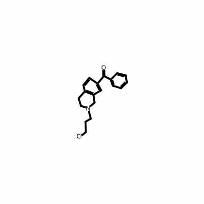 O=C(c1ccccc1)c1ccc2c(c1)CN(CCCCl)CC2